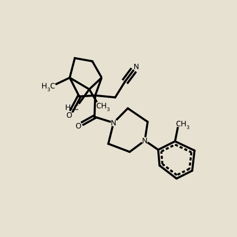 Cc1ccccc1N1CCN(C(=O)C2(CC#N)C(=O)C3(C)CCC2C3(C)C)CC1